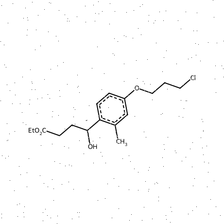 CCOC(=O)CCC(O)c1ccc(OCCCCl)cc1C